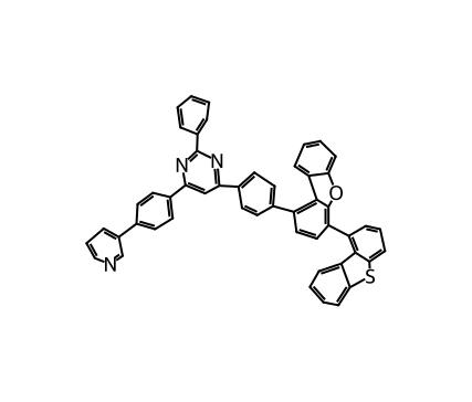 c1ccc(-c2nc(-c3ccc(-c4cccnc4)cc3)cc(-c3ccc(-c4ccc(-c5cccc6sc7ccccc7c56)c5oc6ccccc6c45)cc3)n2)cc1